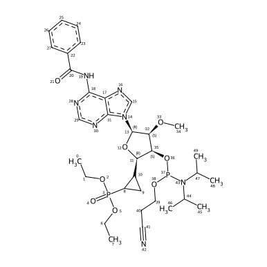 CCOP(=O)(OCC)C1CC1[C@H]1O[C@@H](n2cnc3c(NC(=O)c4ccccc4)ncnc32)[C@@H](OC)[C@H]1OP(OCCC#N)N(C(C)C)C(C)C